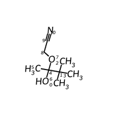 CC(C)(C)C(C)(O)OCC#N